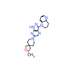 C[C@H]1CC2(CCN(c3cnc4c(N5CCCc6ncccc65)n[nH]c4n3)CC2)CO1